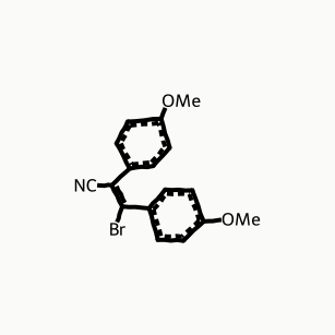 COc1ccc(C(Br)=C(C#N)c2ccc(OC)cc2)cc1